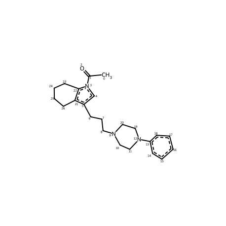 CC(=O)n1cc(CCCN2CCN(c3ccccc3)CC2)c2c1CCCC2